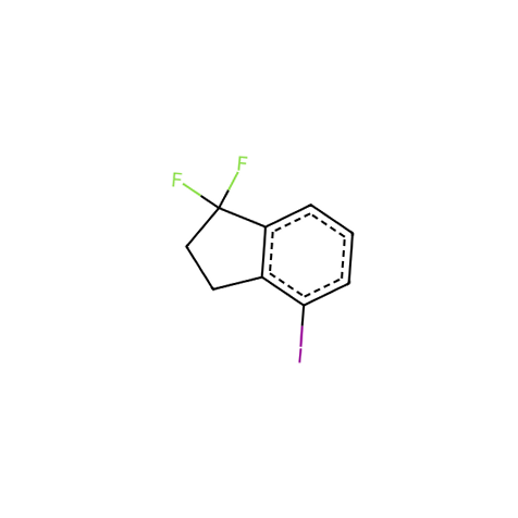 FC1(F)CCc2c(I)cccc21